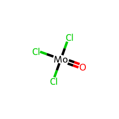 [O]=[Mo]([Cl])([Cl])[Cl]